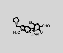 CCc1cc(C=O)c(=O)[nH]c1-c1cc2cc(CN3CCCC3)n(C)c2cc1OC